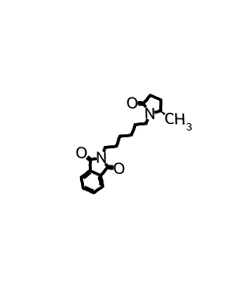 C[C@@H]1CCC(=O)N1CCCCCCN1C(=O)c2ccccc2C1=O